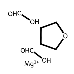 C1CCOC1.O=[C-]O.O=[C-]O.[Mg+2]